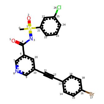 CS(=O)(=NC(=O)c1cncc(C#Cc2ccc(Br)cc2)c1)c1cccc(Cl)c1